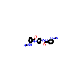 N#CNc1cccc(C(=O)Nc2ccc(NC(=O)c3cccc(NC#N)c3)cc2)c1